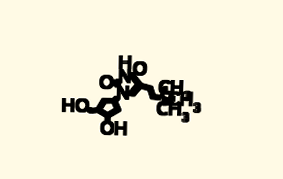 C[Si](C)(C)CCc1cn(C2CC(O)C(CO)C2)c(=O)[nH]c1=O